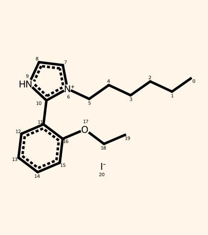 CCCCCC[n+]1cc[nH]c1-c1ccccc1OCC.[I-]